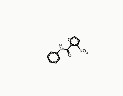 O=C(Nc1ccccc1)c1occc1[N+](=O)[O-]